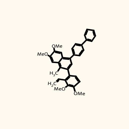 C=Cc1c(-c2cc(-c3ccc(-c4ccccc4)cc3)c3cc(OC)c(OC)cc3c2C)ccc(OC)c1OC